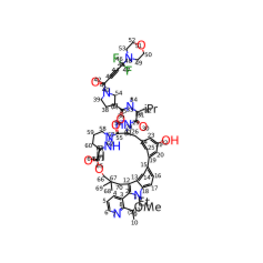 CCn1c(-c2cccnc2[C@H](C)OC)c2c3cc(ccc31)-c1cc(O)cc(c1)C[C@H](NC(=O)[C@H](C(C)C)N(C)C(=O)[C@H]1CCN(C(=O)C#CC(F)(F)N3CCOCC3)C1)C(=O)N1CCC[C@H](N1)C(=O)OCC(C)(C)C2